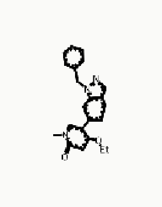 CCOc1cc(=O)n(C)cc1-c1ccc2cnn(Cc3ccccc3)c2c1